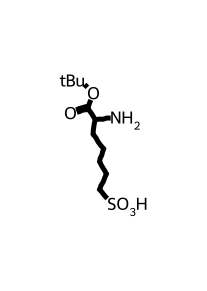 CC(C)(C)OC(=O)C(N)CCCCCS(=O)(=O)O